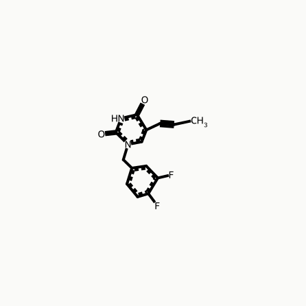 CC#Cc1cn(Cc2ccc(F)c(F)c2)c(=O)[nH]c1=O